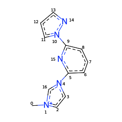 C[n+]1ccn(-c2cccc(-n3cccn3)n2)c1